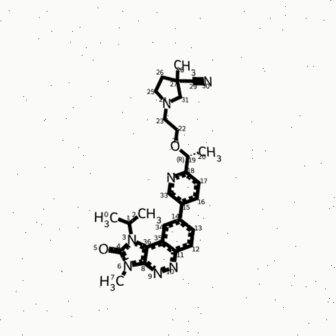 CC(C)n1c(=O)n(C)c2nnc3ccc(-c4ccc([C@@H](C)OCCN5CCC(C)(C#N)C5)nc4)cc3c21